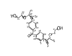 CC(OCCO)N(C)c1ccc(C(=O)c2ccc(N(C)C(C)OCCO)cc2)cc1